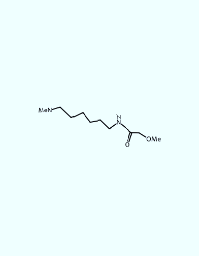 CNCCCCCCNC(=O)COC